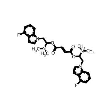 CN(C)C(Cn1ccc2c(F)cccc21)OC(=O)/C=C/C(=O)OC(Cn1ccc2c(F)cccc21)N(C)C